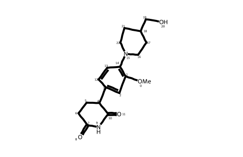 COc1cc(C2CCC(=O)NC2=O)ccc1N1CCC(CO)CC1